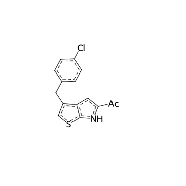 CC(=O)c1cc2c(Cc3ccc(Cl)cc3)csc2[nH]1